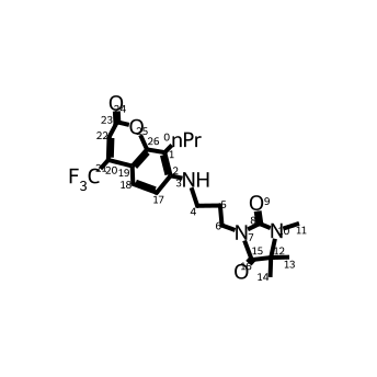 CCCc1c(NCCCN2C(=O)N(C)C(C)(C)C2=O)ccc2c(C(F)(F)F)cc(=O)oc12